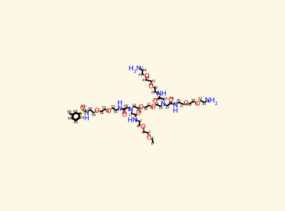 CCOCCOCCNC(=O)CN(CCOCCOCCN(CC(=O)NCCOCCOCCN)CC(=O)NCCOCCOCCN)CC(=O)NCCOCCOCCN[S+]([O-])c1cccc(C)c1